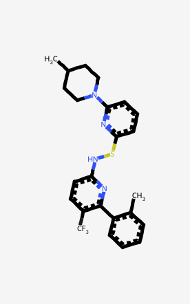 Cc1ccccc1-c1nc(NSc2cccc(N3CCC(C)CC3)n2)ccc1C(F)(F)F